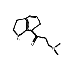 CN(C)CCC(=O)C1CC=CC2=C1NCC2